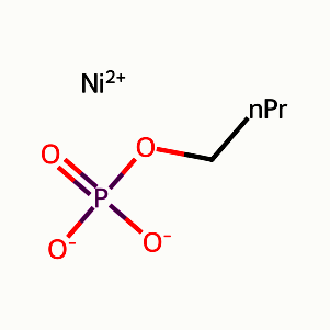 CCCCOP(=O)([O-])[O-].[Ni+2]